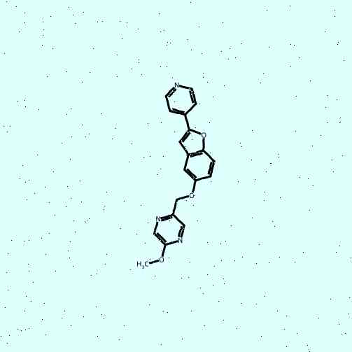 COc1cnc(COc2ccc3oc(-c4ccncc4)cc3c2)cn1